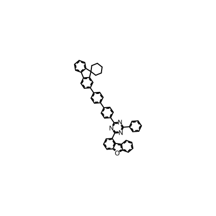 c1ccc(-c2nc(-c3ccc(-c4ccc(-c5ccc6c(c5)C5(CCCCC5)c5ccccc5-6)cc4)cc3)nc(-c3cccc4oc5ccccc5c34)n2)cc1